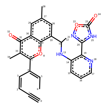 C#C/C=C\C(=C/C)c1oc2c(C(C)Nc3cccnc3-c3noc(=O)[nH]3)cc(C)cc2c(=O)c1C